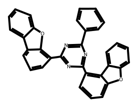 c1ccc(-c2nc(-c3cccc4c3oc3ccccc34)nc(-c3cccc4oc5ccccc5c34)n2)cc1